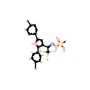 Cc1ccc(-c2cc(C(=NOS(C)(=O)=O)C(F)(F)F)c(-c3ccc(C)cc3)o2)cc1